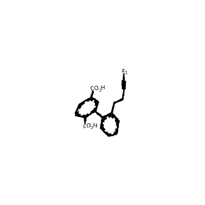 CCC#CCCc1ccccc1-c1cc(C(=O)O)ccc1C(=O)O